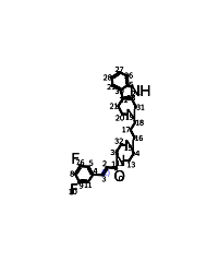 O=C(/C=C/c1cc(F)cc(F)c1)N1CCN(CCCN2CCc3c([nH]c4ccccc34)C2)CC1